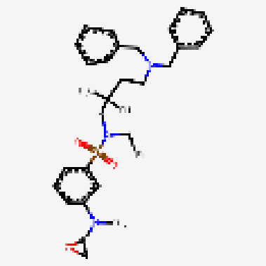 CC(C)CN(CC(C)(C)CCN(Cc1ccccc1)Cc1ccccc1)S(=O)(=O)c1cccc(N(C)B2CO2)c1